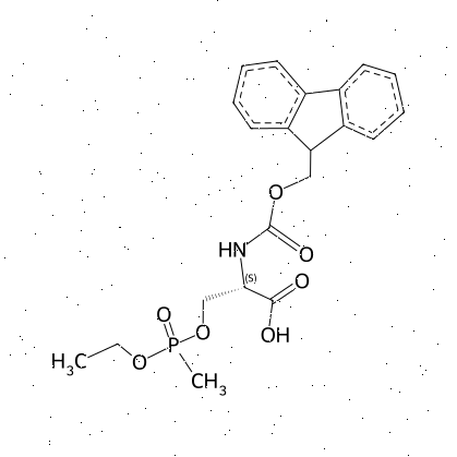 CCOP(C)(=O)OC[C@H](NC(=O)OCC1c2ccccc2-c2ccccc21)C(=O)O